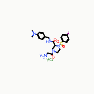 CN(C)c1ccc(CNC(=O)C2CN(C(=O)CN)CCN2S(=O)(=O)c2ccc(I)cc2)cc1.Cl